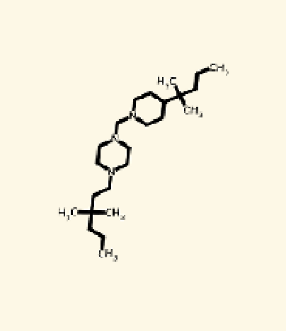 CCCC(C)(C)CCN1CCN(CN2CCC(C(C)(C)CCC)CC2)CC1